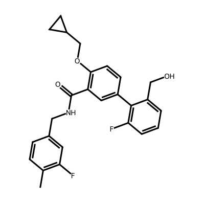 Cc1ccc(CNC(=O)c2cc(-c3c(F)cccc3CO)ccc2OCC2CC2)cc1F